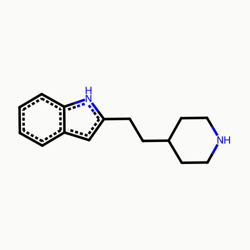 c1ccc2[nH]c(CCC3CCNCC3)cc2c1